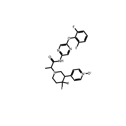 CC(C(=O)Nc1cnc(Oc2c(F)cccc2F)cn1)N1CCC(F)(F)C(c2cc[n+]([O-])cc2)C1